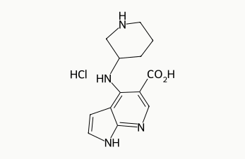 Cl.O=C(O)c1cnc2[nH]ccc2c1NC1CCCNC1